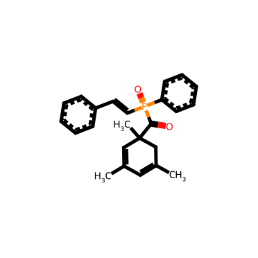 CC1=CC(C)(C(=O)P(=O)(C=Cc2ccccc2)c2ccccc2)CC(C)=C1